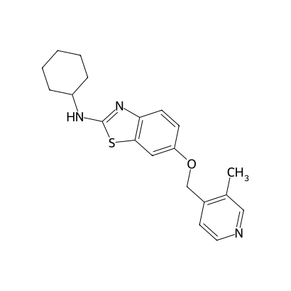 Cc1cnccc1COc1ccc2nc(NC3CCCCC3)sc2c1